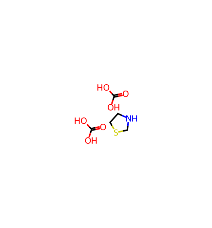 C1CSCN1.O=C(O)O.O=C(O)O